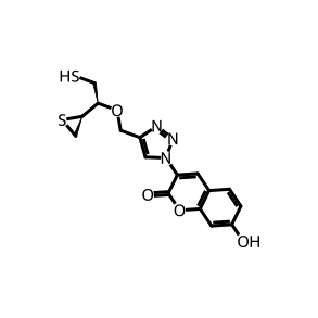 O=c1oc2cc(O)ccc2cc1-n1cc(CO[C@H](CS)[C@H]2CS2)nn1